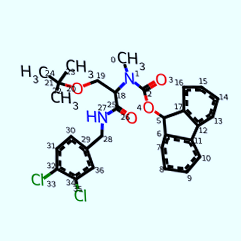 CN(C(=O)OC1c2ccccc2-c2ccccc21)C(COC(C)(C)C)C(=O)NCc1ccc(Cl)c(Cl)c1